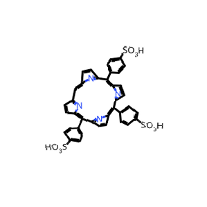 O=S(=O)(O)c1ccc(C2=C3C=CC(=N3)C=C3C=CC(=N3)C(c3ccc(S(=O)(=O)O)cc3)=C3C=CC(=N3)C(c3ccc(S(=O)(=O)O)cc3)=C3C=CC2=N3)cc1